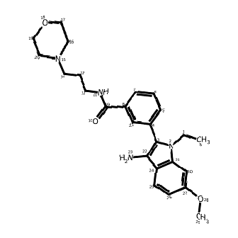 CCn1c(-c2cccc(C(=O)NCCCN3CCOCC3)c2)c(N)c2ccc(OC)cc21